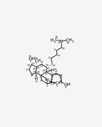 C=CC12CCc3cc(O)ccc3[C@H]1[C@@H](CCCCCN(C)C)C[C@]1(C)[C@@H](O)CC[C@@H]21